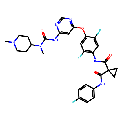 CN1CCC(N(C)C(=O)Nc2cc(Oc3cc(F)c(NC(=O)C4(C(=O)Nc5ccc(F)cc5)CC4)cc3F)ncn2)CC1